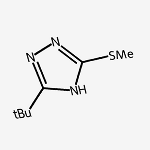 [CH2]Sc1nnc(C(C)(C)C)[nH]1